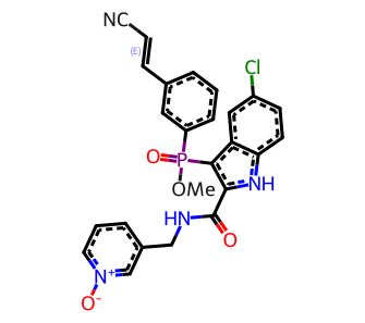 COP(=O)(c1cccc(/C=C/C#N)c1)c1c(C(=O)NCc2ccc[n+]([O-])c2)[nH]c2ccc(Cl)cc12